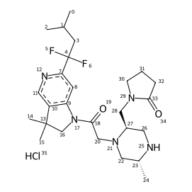 CC(C)CC(F)(F)c1cc2c(cn1)C(C)(C)CN2C(=O)CN1C[C@@H](C)NC[C@@H]1CN1CCCC1=O.Cl